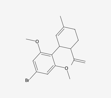 C=C(C)C1CCC(C)=CC1c1c(OC)cc(Br)cc1OC